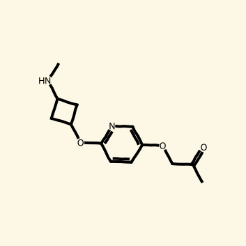 CNC1CC(Oc2ccc(OCC(C)=O)cn2)C1